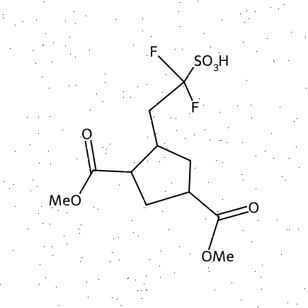 COC(=O)C1CC(CC(F)(F)S(=O)(=O)O)C(C(=O)OC)C1